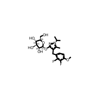 COc1ccc(Cc2c(O[C@@H]3O[C@H](CO)[C@@H](O)[C@H](O)[C@H]3O)nn(C(C)C)c2C)c(F)c1F